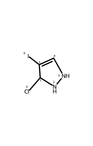 ClC1NNC=C1I